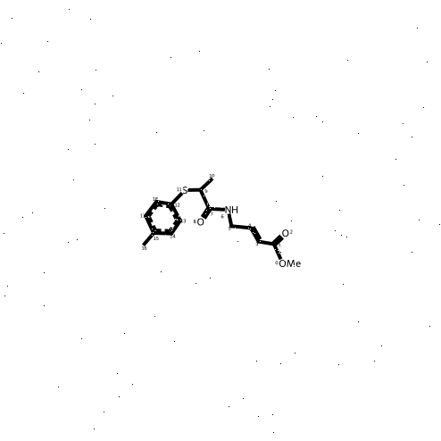 COC(=O)/C=C/CNC(=O)C(C)Sc1ccc(C)cc1